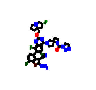 N#Cc1c(N)sc2c(F)ccc(-c3c(Cl)cc4c(N5CCC6(CCN6C(=O)n6ccnn6)C5)nc(OC[C@@]56CCCN5C[C@H](F)C6)nc4c3F)c12